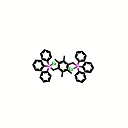 Cc1c(C)c(CP(Br)(c2ccccc2)(c2ccccc2)c2ccccc2)c(C)c(C)c1CP(Br)(c1ccccc1)(c1ccccc1)c1ccccc1